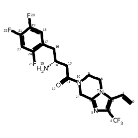 C=Cc1c(C(F)(F)F)nc2n1CCN(C(=O)C[C@H](N)Cc1cc(F)c(F)cc1F)C2